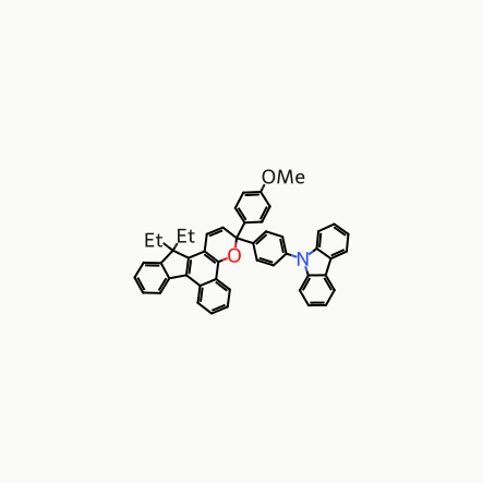 CCC1(CC)c2ccccc2-c2c1c1c(c3ccccc23)OC(c2ccc(OC)cc2)(c2ccc(-n3c4ccccc4c4ccccc43)cc2)C=C1